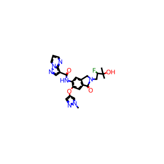 Cn1cc(Oc2cc3c(cc2NC(=O)c2cnn4cccnc24)CN(CC(F)C(C)(C)O)C3=O)cn1